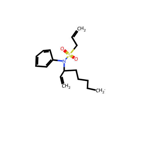 [CH2]CCCCC(C=C)N(c1ccccc1)S(=O)(=O)CC=C